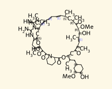 CO[C@@H]1C[C@@H](CC(C)[C@@H]2CC(=O)[C@H](C)/C=C(\C)[C@@H](O)[C@@H](OC)C(=O)[C@H](C)C[C@H](C)/C=C/C=C/C=C(/C)[C@H](N(C(=N)N)C(=N)N(C)C)C[C@@H]3CC[C@@H](C)[C@@](O)(O3)C(=O)C(=O)N3CCCCC3C(=O)O2)CC[C@H]1O